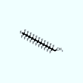 CCC(F)(F)C(F)(F)C(F)(F)C(F)(F)C(F)(F)C(F)(F)C(F)(F)C(F)(F)C(F)(F)C(F)(F)C(F)(F)F